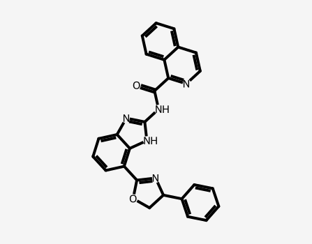 O=C(Nc1nc2cccc(C3=NC(c4ccccc4)CO3)c2[nH]1)c1nccc2ccccc12